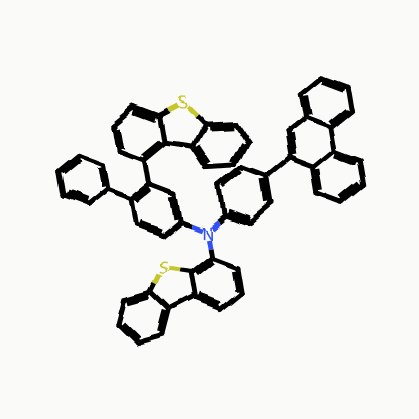 c1ccc(-c2ccc(N(c3ccc(-c4cc5ccccc5c5ccccc45)cc3)c3cccc4c3sc3ccccc34)cc2-c2cccc3sc4ccccc4c23)cc1